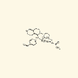 CC(=O)OC[C@]1(O)CCC2C3CCC4=COCCC4=C3[C@@H](c3ccc(C=O)cc3)C[C@@]21C